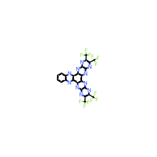 FC(F)(F)c1nc2nc3c4nc5ccccc5nc4c4nc5nc(C(F)(F)F)c(C(F)(F)F)nc5nc4c3nc2nc1C(F)(F)F